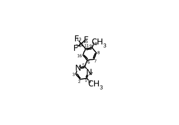 Cc1ccnc(-c2ccc(C)c(C(F)(F)F)c2)n1